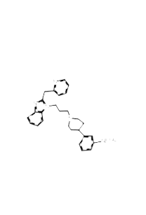 CC(=O)Nc1cccc(C2CCN(CCCn3c(Cc4ccccn4)nc4ccccc43)CC2)c1